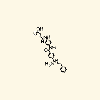 NC(=NCCc1ccccc1)c1ccc(C(=O)Nc2ccc3[nH]c(CCC(=O)O)nc3c2)cc1